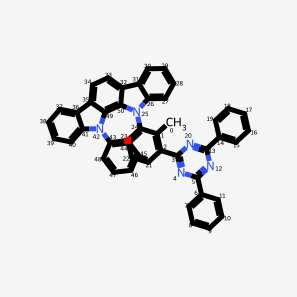 Cc1c(-c2nc(-c3ccccc3)nc(-c3ccccc3)n2)cccc1-n1c2ccccc2c2ccc3c4ccccc4n(-c4ccccc4)c3c21